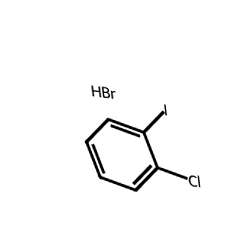 Br.Clc1ccccc1I